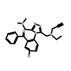 C#CCN(CC)Cc1nnc(CN(C)C)n1-c1ccc(Cl)cc1C(=O)c1ccccc1